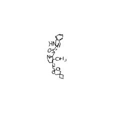 Cc1c(OCC2OCC3(CCC3)CO2)ccnc1C[S+]([O-])c1nc2ccccc2[nH]1